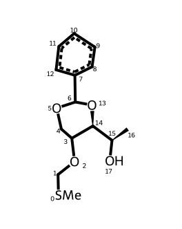 CSCOC1COC(c2ccccc2)O[C@H]1[C@@H](C)O